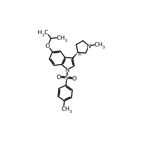 Cc1ccc(S(=O)(=O)n2cc([C@H]3CCN(C)C3)c3cc(OC(C)C)ccc32)cc1